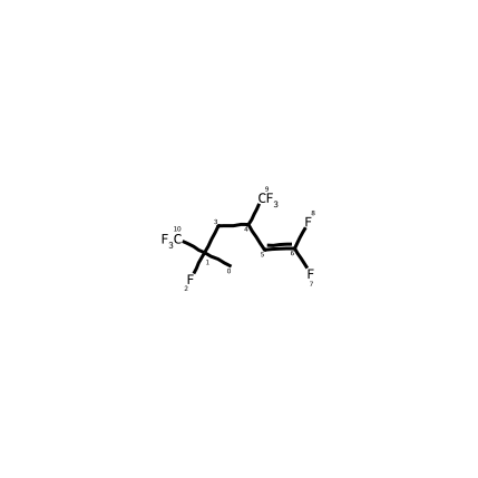 CC(F)(CC(C=C(F)F)C(F)(F)F)C(F)(F)F